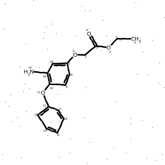 CCOC(=O)COc1ccc(Oc2ccccc2)c(N)c1